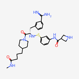 CNC(=O)CCCC1CCN(C(=O)[C@H](Cc2cccc(C(=N)N)c2)NSc2cccc(NC(=O)C3CNC3)c2)CC1